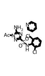 CC(=O)n1nc(S(=O)(=O)Nc2c(Cl)cccc2Cl)nc1N.c1ccncc1